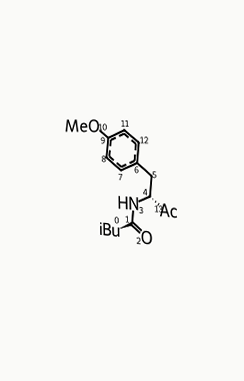 CC[C@H](C)C(=O)N[C@H](Cc1ccc(OC)cc1)C(C)=O